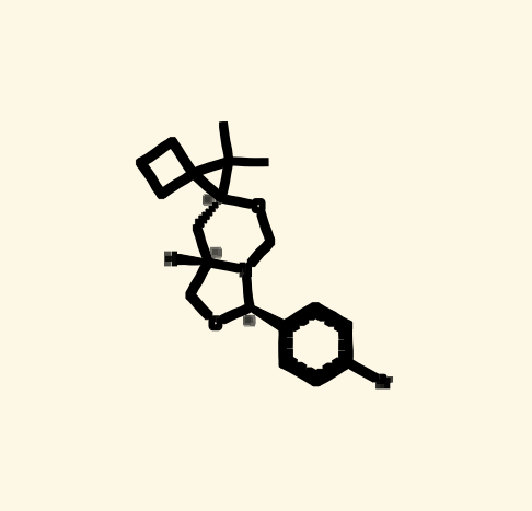 CC1(C)C2(CCC2)[C@@]12C[C@H]1CO[C@H](c3ccc(Br)cc3)N1CO2